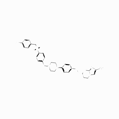 Cl.O=[N+]([O-])c1cn2c(n1)O[C@@H](COc1ccc(N3CCN(Cc4ccc(S(=O)(=O)Cc5ccc(C(F)(F)F)cc5)cc4)CC3)cc1)CC2